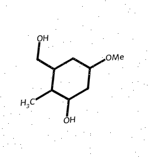 COC1CC(O)C(C)C(CO)C1